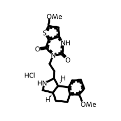 COc1cc2[nH]c(=O)n(CCC3NC[C@@H]4CCc5c(OC)cccc5[C@H]34)c(=O)c2s1.Cl